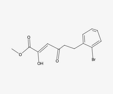 COC(=O)C(O)=CC(=O)CCc1ccccc1Br